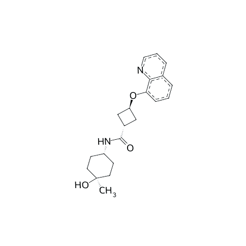 C[C@]1(O)CC[C@H](NC(=O)[C@H]2C[C@H](Oc3cccc4cccnc34)C2)CC1